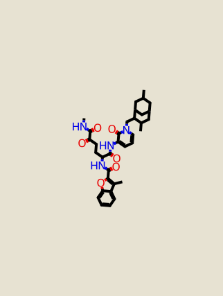 CNC(=O)C(=O)CCC(NC(=O)c1oc2ccccc2c1C)C(=O)Nc1cccn(CC2C(C)CC3CC(C)CC2C3)c1=O